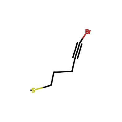 [S]CCCC#CBr